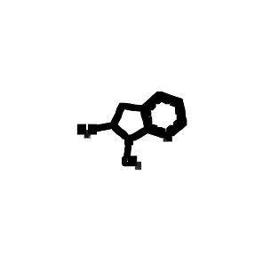 CN1c2ncccc2CC1N